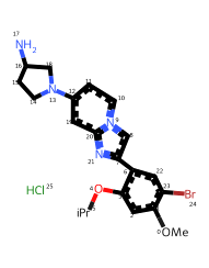 COc1cc(OC(C)C)c(-c2cn3ccc(N4CCC(N)C4)cc3n2)cc1Br.Cl